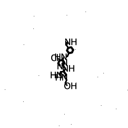 N=C/C(=C\NCCO)Nc1ncc(Cl)c(NCc2cccc(C=N)c2)n1